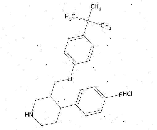 CC(C)(C)c1ccc(OCC2CNCCC2c2ccc(F)cc2)cc1.Cl